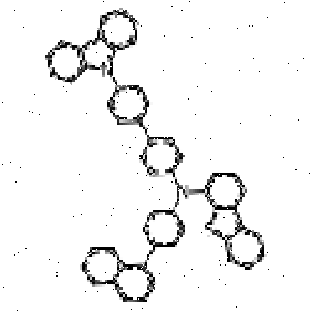 c1ccc2c(-c3ccc(N(c4ccc(-c5ccc(-n6c7ccccc7c7ccccc76)cc5)cc4)c4cccc5c4sc4ccccc45)cc3)cccc2c1